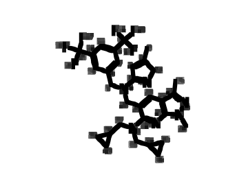 CC1=CC(N(Cc2cc(C(F)(F)F)cc(C(F)(F)F)c2)Cc2cc3c(C)nn(C)c3nc2N(CC2CC2)CC2CC2)=NC1